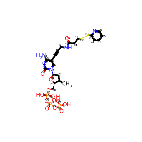 CC1C[C@H](n2cc(C#CCNC(=O)CCSSc3ccccn3)c(N)nc2=O)O[C@@H]1COP(=O)(O)OP(=O)(O)OP(=O)(O)O